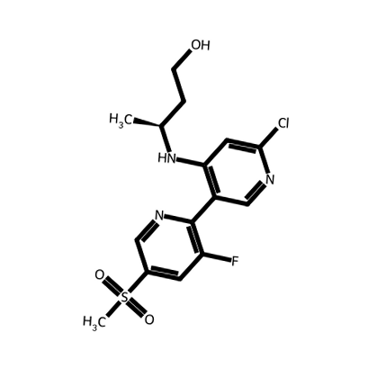 C[C@@H](CCO)Nc1cc(Cl)ncc1-c1ncc(S(C)(=O)=O)cc1F